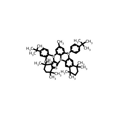 Cc1cc2c3c(c1)N(c1ccc(C(C)(C)C)cc1C)c1c(sc4c1C(C)(C)CCC4(C)C)B3c1cc3c(cc1N2c1ccc(C(C)(C)C)cc1)C(C)(C)CCC3(C)C